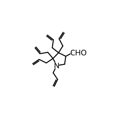 C=CCN1CC(C=O)C(CC=C)(CC=C)C1(CC=C)CC=C